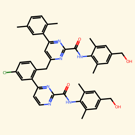 Cc1ccc(C)c(-c2cc(Cc3ccc(Cl)cc3-c3ccnc(C(=O)Nc4c(C)cc(CO)cc4C)n3)nc(C(=O)Nc3c(C)cc(CO)cc3C)n2)c1